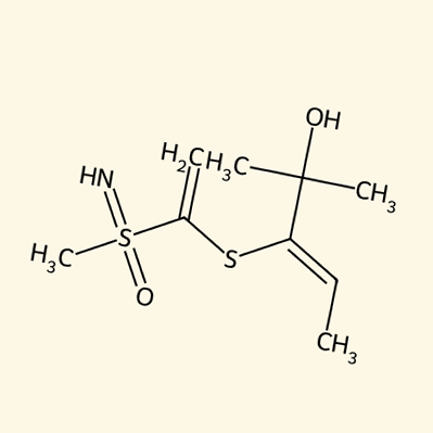 C=C(S/C(=C\C)C(C)(C)O)S(C)(=N)=O